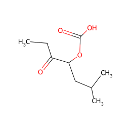 CCC(=O)C(CC(C)C)OC(=O)O